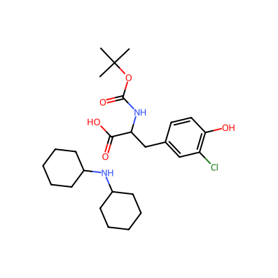 C1CCC(NC2CCCCC2)CC1.CC(C)(C)OC(=O)NC(Cc1ccc(O)c(Cl)c1)C(=O)O